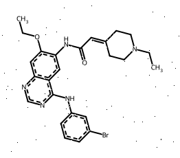 CCOc1cc2ncnc(Nc3cccc(Br)c3)c2cc1NC(=O)C=C1CCN(CC)CC1